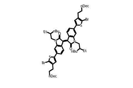 CCCCCCCCCCCCc1cc(-c2ccc3c(c2)N(CC(CC)CCCC)C(=O)/C3=C2/C(=O)N(CC(CC)CCCC)c3cc(-c4cc(CCCCCCCCCCCC)c(Br)s4)ccc32)sc1Br